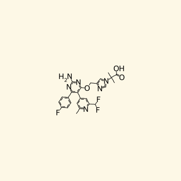 Cc1cc(-c2c(OCc3cn(C(C)(C)C(=O)O)cn3)nc(N)nc2-c2ccc(F)cc2)cc(C(F)F)n1